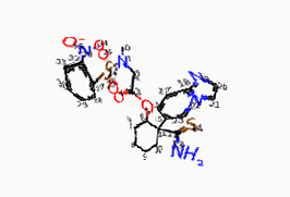 CN(CC(=O)OC1CCCCC1(C(N)=S)c1ccc2nccn2c1)S(=O)(=O)c1ccccc1[N+](=O)[O-]